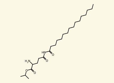 CCCCCCCCCCCCCCCC(=O)NC(=O)CCC(N)C(=O)OC(C)C